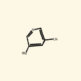 CC(C)(C)c1cncc(C#N)c1